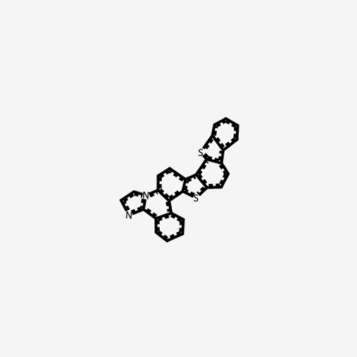 c1ccc2c(c1)sc1c2ccc2sc3c(ccc4c3c3ccccc3c3nccn43)c21